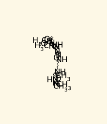 CC(=O)c1c(C)c2cnc(Nc3ccc(N4CCN(CC(=O)NCCCCCCCNc5cccc(C(=O)Nc6cc(C)n(C)n6)c5C)CC4)cn3)nc2n(C2CCCC2)c1=O